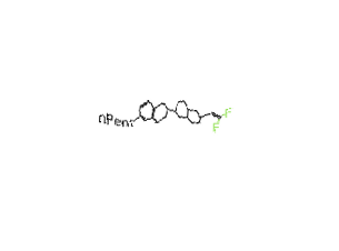 CCCCCc1ccc2c(c1)CCC(C1CCC3CC(C=C(F)F)CCC3C1)C2